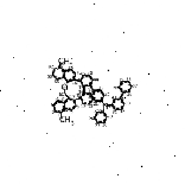 Cc1cccc2c3c(ccc12)-c1ccccc1-c1c(-c2ccc(N(c4ccccc4)c4cccc(-c5ccccc5)c4)cc2)cccc1-c1ccc2c(C)cccc2c1OC3